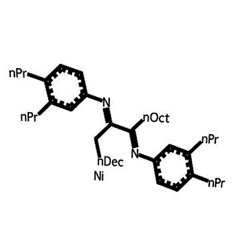 CCCCCCCCCCCC(=N\c1ccc(CCC)c(CCC)c1)/C(CCCCCCCC)=N/c1ccc(CCC)c(CCC)c1.[Ni]